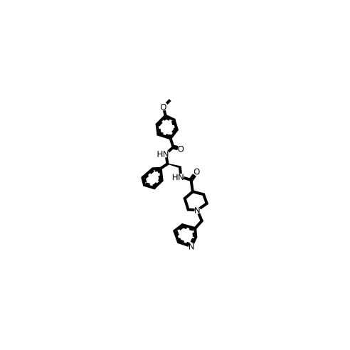 COc1ccc(C(=O)N[C@@H](CNC(=O)C2CCN(Cc3cccnc3)CC2)c2ccccc2)cc1